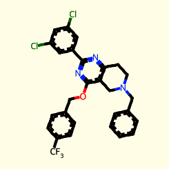 FC(F)(F)c1ccc(COc2nc(-c3cc(Cl)cc(Cl)c3)nc3c2CN(Cc2ccccc2)CC3)cc1